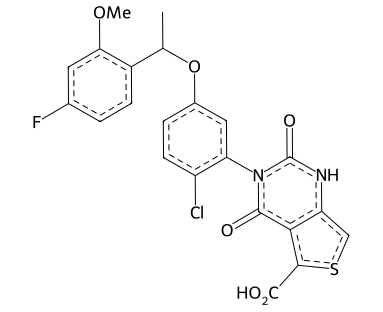 COc1cc(F)ccc1C(C)Oc1ccc(Cl)c(-n2c(=O)[nH]c3csc(C(=O)O)c3c2=O)c1